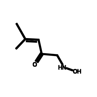 CC(C)=CC(=O)CNO